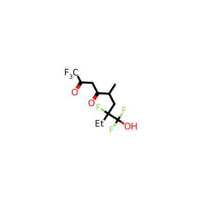 CCC(F)(CC(C)C(=O)CC(=O)C(F)(F)F)C(O)(F)F